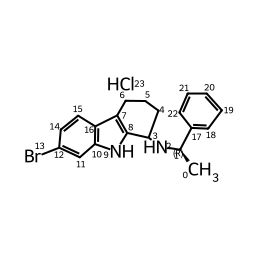 C[C@@H](NC1CCCc2c1[nH]c1cc(Br)ccc21)c1ccccc1.Cl